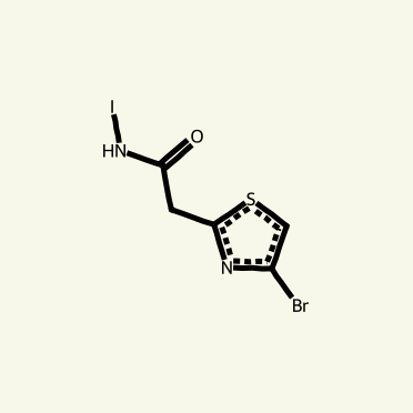 O=C(Cc1nc(Br)cs1)NI